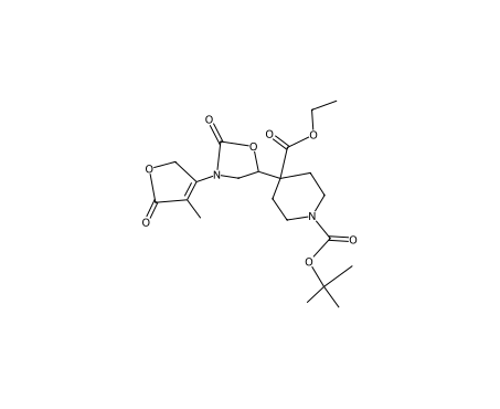 CCOC(=O)C1(C2CN(C3=C(C)C(=O)OC3)C(=O)O2)CCN(C(=O)OC(C)(C)C)CC1